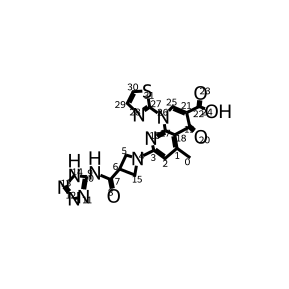 Cc1cc(N2CC(C(=O)Nc3nnn[nH]3)C2)nc2c1c(=O)c(C(=O)O)cn2-c1nccs1